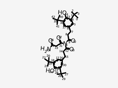 CC(C)(C)c1cc(CCC(=O)N(C(=O)CCc2cc(C(C)(C)C)c(O)c(C(C)(C)C)c2)C(=O)CC(N)=O)cc(C(C)(C)C)c1O